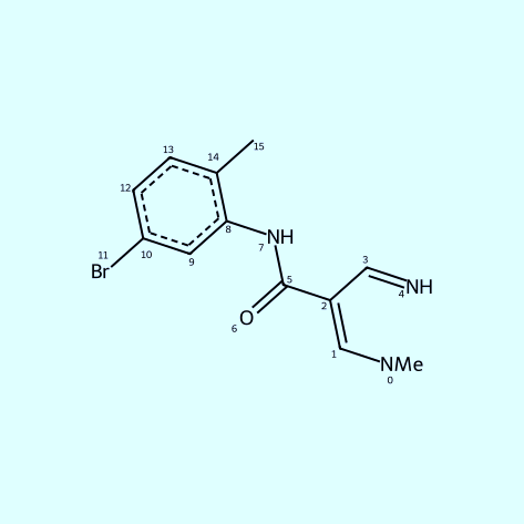 CN/C=C(\C=N)C(=O)Nc1cc(Br)ccc1C